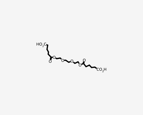 O=C(O)CCCCC(=O)OCCOCCOCCOC(=O)CCCCC(=O)O